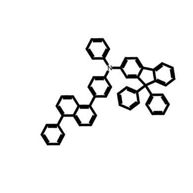 c1ccc(-c2cccc3c(-c4ccc(N(c5ccccc5)c5ccc6c(c5)C(c5ccccc5)(c5ccccc5)c5ccccc5-6)cc4)cccc23)cc1